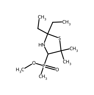 CCC1(CC)NC(P(C)(=O)OC)C(C)(C)S1